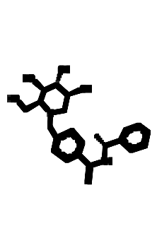 C=C(N[C@H](C)c1ccccc1)c1ccc(CN2C[C@H](O)[C@@H](O)[C@H](O)[C@@H]2CO)cc1